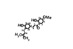 COc1ccc(C(=O)C=Cc2ccc(O)c(CC=C(C)C)c2)c(O)c1